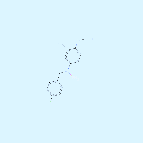 CCOC(=O)Nc1ccc(N(P)Cc2ccc(F)cc2)cc1[N+](=O)[O-]